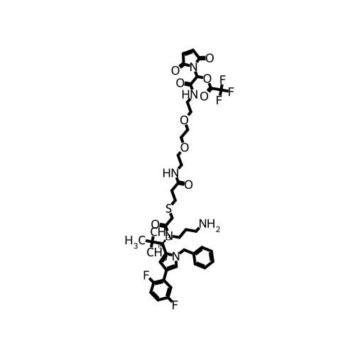 CC(C)(C)[C@H](c1cc(-c2cc(F)ccc2F)cn1Cc1ccccc1)N(CCCN)C(=O)CSCCC(=O)NCCOCCOCCNC(=O)C(OC(=O)C(F)(F)F)N1C(=O)C=CC1=O